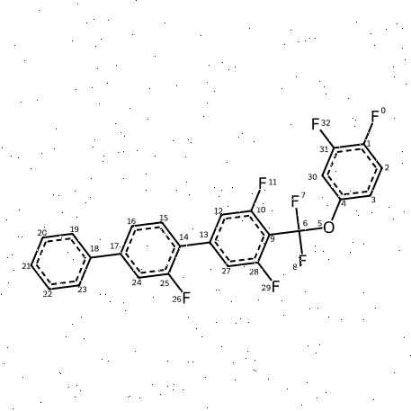 Fc1ccc(OC(F)(F)c2c(F)cc(-c3ccc(-c4ccccc4)cc3F)cc2F)cc1F